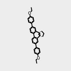 CCOc1ccc(-c2ccc3c(c2)[C@]24CCC[C@]2(CCC4)c2cc(-c4ccc(OCC)cc4)ccc2-3)cc1